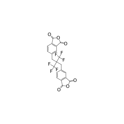 O=C1OC(=O)c2cc(CC(Cc3ccc4c(c3)C(=O)OC4=O)(C(F)(F)F)C(F)(F)F)ccc21